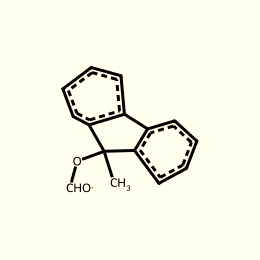 CC1(O[C]=O)c2ccccc2-c2ccccc21